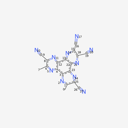 Cc1nc2c3nc(C)c(C#N)nc3c3nc(C#N)c(C#N)nc3c2nc1C#N